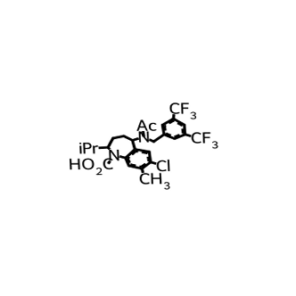 CC(=O)N(Cc1cc(C(F)(F)F)cc(C(F)(F)F)c1)C1CCC(C(C)C)N(C(=O)O)c2cc(C)c(Cl)cc21